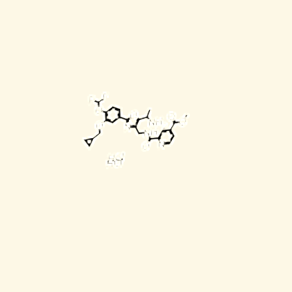 COC(=O)c1ccnc(C(=O)NCc2nc(-c3ccc(OC(F)F)c(OCC4CC4)c3)oc2C(C)N)c1.Cl.Cl